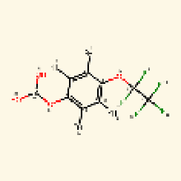 [2H]c1c([2H])c(OC(F)(F)C(F)(F)F)c([2H])c([2H])c1OB(O)O